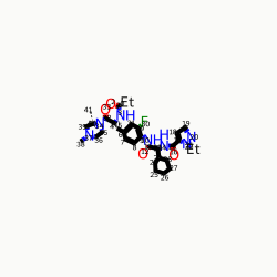 CCC(=O)N[C@H](Cc1ccc(NC(=O)[C@@H](NC(=O)c2ccnn2CC)C2CCCCC2)c(F)c1)C(=O)N1CCN(C)C[C@@H]1C